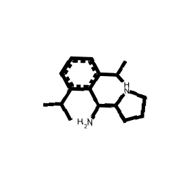 CC(C)c1cccc(C(C)C)c1C(N)C1CCCN1